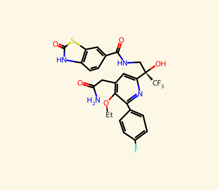 CCOc1c(CC(N)=O)cc([C@@](O)(CNC(=O)c2ccc3[nH]c(=O)sc3c2)C(F)(F)F)nc1-c1ccc(F)cc1